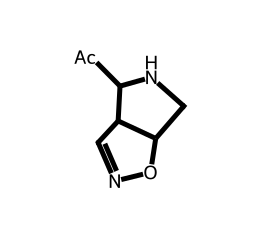 CC(=O)C1NCC2ON=CC21